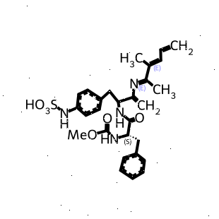 C=C/C=C(C)/C(C)=N/C(=C)C(Cc1ccc(NS(=O)(=O)O)cc1)NC(=O)[C@H](Cc1ccccc1)NC(=O)OC